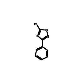 CC(C)c1nc(-c2ccccc2)no1